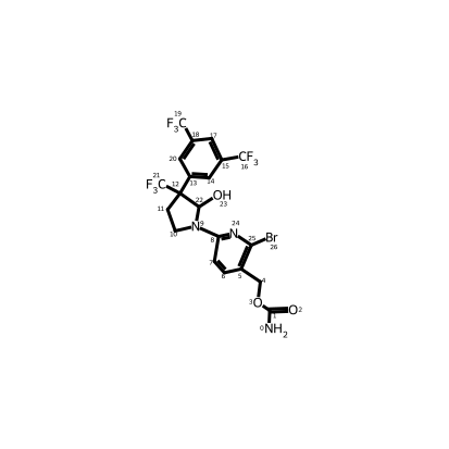 NC(=O)OCc1ccc(N2CCC(c3cc(C(F)(F)F)cc(C(F)(F)F)c3)(C(F)(F)F)C2O)nc1Br